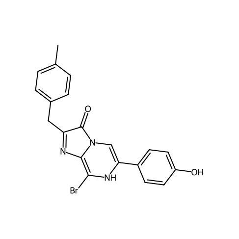 Cc1ccc(Cc2nc3c(Br)[nH]c(-c4ccc(O)cc4)cn-3c2=O)cc1